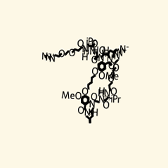 C=C1C[C@H]2CN(C(=O)CNC(=O)[C@@H](NC(=O)CCOCCOCCN=[N+]=[N-])C(C)C)c3cc(OCCCCCOc4cc5c(cc4OC)C(=O)N4CC(=C)C[C@H]4[C@H](O)N5C(=O)CNC(=O)[C@@H](NC(=O)CCOCCOCCN=[N+]=[N-])C(C)C)c(OC)cc3C(=O)N2C1